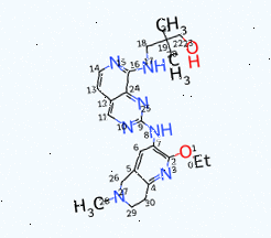 CCOc1nc2c(cc1Nc1ncc3ccnc(NCC(C)(C)CO)c3n1)CN(C)CC2